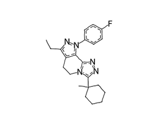 CCc1nn(-c2ccc(F)cc2)c2c1CCn1c-2nnc1C1(C)CCCCC1